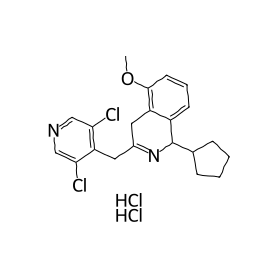 COc1cccc2c1CC(Cc1c(Cl)cncc1Cl)=NC2C1CCCC1.Cl.Cl